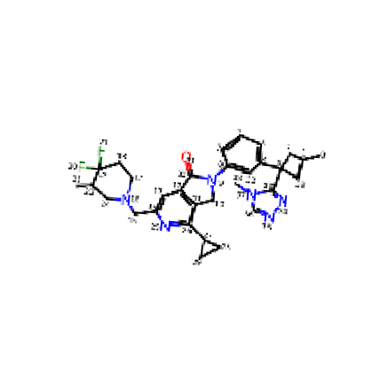 CC1CC(c2cccc(N3Cc4c(cc(CN5CCC(F)(F)[C@H](C)C5)nc4C4CC4)C3=O)c2)(c2nncn2C)C1